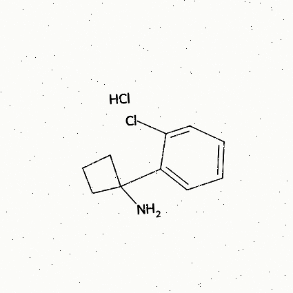 Cl.NC1(c2ccccc2Cl)CCC1